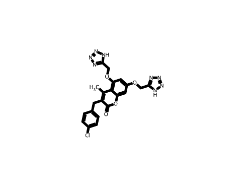 Cc1c(Cc2ccc(Cl)cc2)c(=O)oc2cc(OCc3nnn[nH]3)cc(OCc3nnn[nH]3)c12